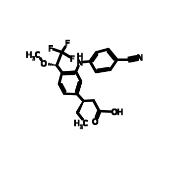 CC[C@H](CC(=O)O)c1ccc([C@H](OC)C(F)(F)F)c(Nc2ccc(C#N)cc2)c1